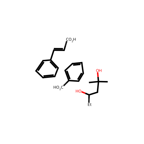 CCC(O)CC(C)(C)O.O=C(O)C=Cc1ccccc1.O=C(O)c1ccccc1